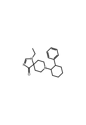 CCN1C=NC(=O)C12CCN(C1CCCCC1c1ccccc1)CC2